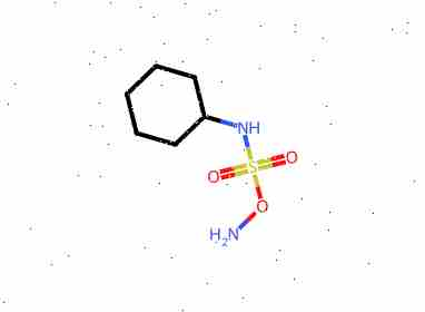 NOS(=O)(=O)NC1CCCCC1